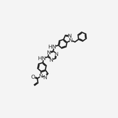 C=CC(=O)n1ncc2cc(Nc3ncnc(Nc4ccc5c(cnn5Cc5ccccc5)c4)n3)ccc21